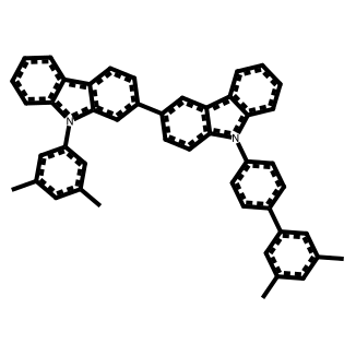 Cc1cc(C)cc(-c2ccc(-n3c4ccccc4c4cc(-c5ccc6c7ccccc7n(-c7cc(C)cc(C)c7)c6c5)ccc43)cc2)c1